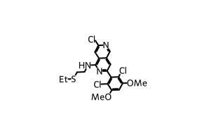 CCSCCNc1nc(-c2c(Cl)c(OC)cc(OC)c2Cl)cc2cnc(Cl)cc12